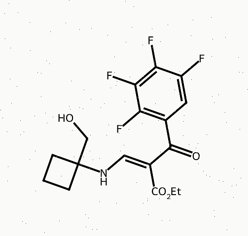 CCOC(=O)C(=CNC1(CO)CCC1)C(=O)c1cc(F)c(F)c(F)c1F